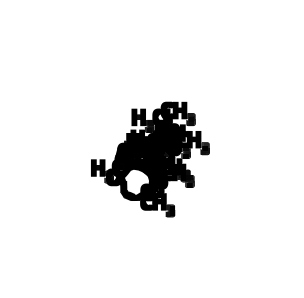 COC1C(OC(C)=O)CC(=O)OC(C)C/C=C\C=C\C(=O)C(C)CC(CC2OCCO2)C1O[C@@H]1O[C@H](C)[C@@H](O[C@@H]2O[C@@H](C)[C@H](OC(=O)CC(C)C)[C@](C)(O)[C@H]2Br)[C@H](N(C)C)[C@H]1O